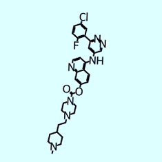 CN1CCC(CCN2CCN(C(=O)Oc3ccc4c(Nc5cnnc(-c6cc(Cl)ccc6F)c5)ccnc4c3)CC2)CC1